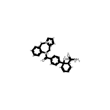 CC(=O)OC1(c2ccc(C(=O)N3Cc4cccn4Cc4ccccc43)cc2)C=CC=CC1C(N)=O